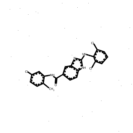 Cc1ccc(Cl)cc1NC(=O)c1ccc2[nH]c(Nc3c(Cl)cccc3Cl)nc2c1